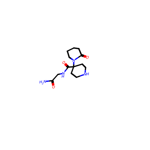 NC(=O)CNC(=O)C1(N2CCCCC2=O)CCNCC1